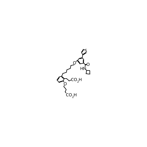 O=C(O)CCCOc1cccc(CCCCCCOc2cc(C(=O)NC3CCC3)cc(-c3ccsc3)c2)c1CCC(=O)O